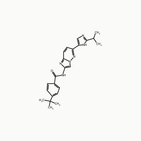 CC(C)c1ncc(-c2ccc3nc(NC(=O)c4ccc(C(C)(C)C)cc4)cn3n2)[nH]1